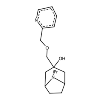 CC(C)N1C2CCC1CC(O)(COCc1ccccn1)C2